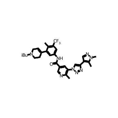 CCC(C)N1CC=C(c2cc(NC(=O)c3cnc(C)c(-n4cc(-c5cnn(C)c5C)nn4)c3)cc(C(F)(F)F)c2C)CC1